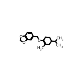 CC1=C(OCc2ccc3c(c2)OCO3)CCC(C(C)C)C1